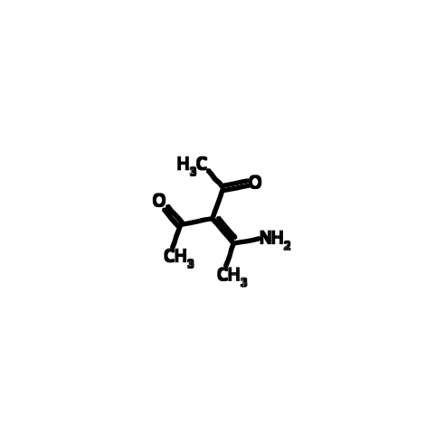 CC(=O)C(C(C)=O)=C(C)N